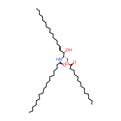 CCCCCCCCCCCCC/C=C/[C@@H](O)[C@H](COC(=O)CCCCCCCCCCCCC)NC(=O)CCCCCCCCCCCCCCCCC